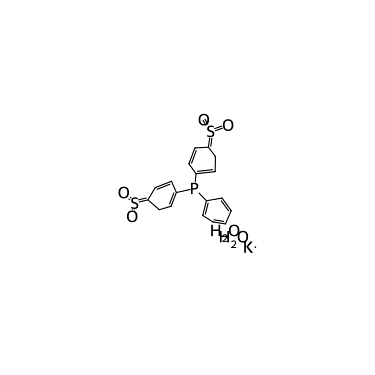 O.O.O=S(=O)=C1C=CC(P(C2=CCC(=S(=O)=O)C=C2)c2ccccc2)=CC1.[K]